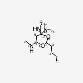 CCCCC1OC(NC)CC(NC)(NC)O1